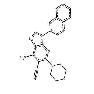 N#Cc1c(N2CCSCC2)nc2c(-c3cnc4ccccc4c3)cnn2c1N